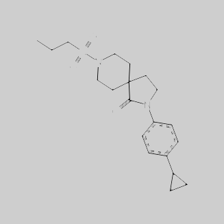 CCCS(=O)(=O)N1CCC2(CCN(c3ccc(C4CC4)cc3)C2=O)CC1